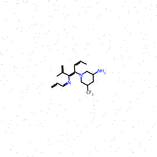 C=C\C=N/C(C(=C)C)=C(/C=C\C)N1CC(N)CC(C(F)(F)F)C1